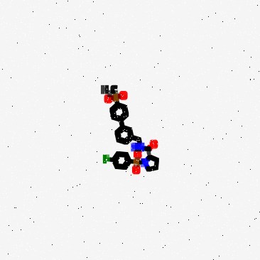 CS(=O)(=O)c1ccc(-c2cccc(CNC(=O)[C@@H]3CCCN3S(=O)(=O)c3ccc(F)cc3)c2)cc1